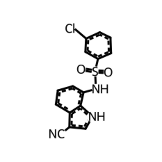 N#Cc1c[nH]c2c(NS(=O)(=O)c3cccc(Cl)c3)cccc12